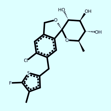 Cc1cc(Cc2cc3c(cc2Cl)CO[C@]32O[C@H](C)[C@@H](O)[C@H](O)[C@H]2O)sc1F